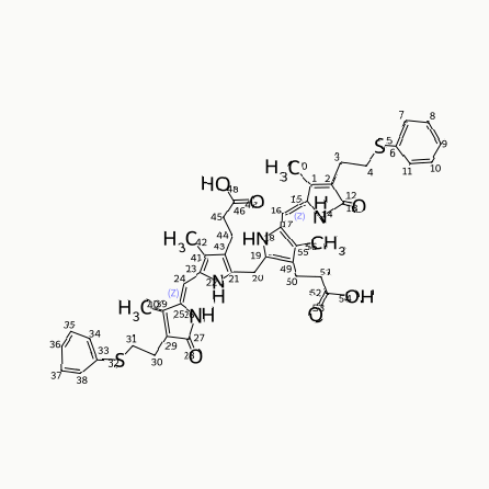 CC1=C(CCSc2ccccc2)C(=O)N/C1=C\c1[nH]c(Cc2[nH]c(/C=C3\NC(=O)C(CCSc4ccccc4)=C3C)c(C)c2CCC(=O)O)c(CCC(=O)O)c1C